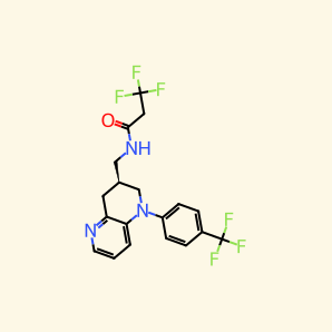 O=C(CC(F)(F)F)NC[C@@H]1Cc2ncccc2N(c2ccc(C(F)(F)F)cc2)C1